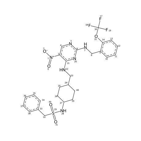 O=[N+]([O-])c1cnc(NCc2ccccc2OC(F)(F)F)nc1NCC1CCC(NS(=O)(=O)Cc2ccccc2)CC1